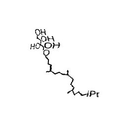 CC(=CCCCOCC(O)C(O)C(O)CO)CCCC(C)CCCC(C)CCCC(C)C